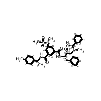 Cc1ccc([C@@H](C)NC(=O)c2cc(C(=O)N[C@@H](Cc3ccccc3)[C@H](O)CN(C)[C@@H](C)c3ccccc3)cc(N(C)S(C)(=O)=O)c2)cc1